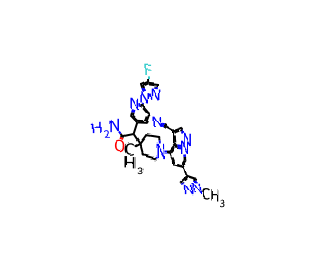 Cn1cc(-c2cc(N3CCC(C)(C(C(N)=O)c4ccc(-n5cc(F)cn5)nc4)CC3)c3c(C#N)cnn3c2)cn1